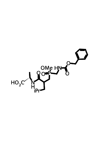 COP(=O)(CNC(=O)OCc1ccccc1)CC(CC(C)C)C(=O)N[C@@H](C)C(=O)O